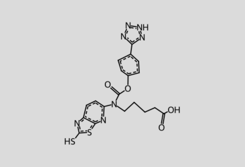 O=C(O)CCCCN(C(=O)Oc1ccc(-c2nn[nH]n2)cc1)c1ccc2nc(S)sc2n1